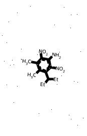 CCC(CC)c1c(C)c(C)c([N+](=O)[O-])c(N)c1[N+](=O)[O-]